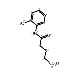 CC(=O)c1ccccc1NC(=O)CSCC(=O)O